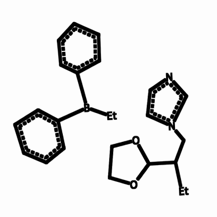 CCB(c1ccccc1)c1ccccc1.CCC(Cn1ccnc1)C1OCCO1